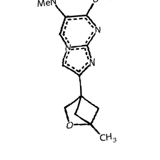 CCOc1nc2nc(C34COC(C)(C3)C4)cn2cc1NC